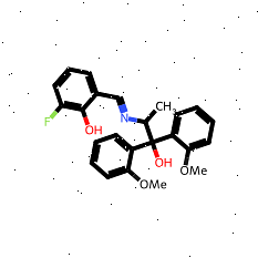 COc1ccccc1C(O)(c1ccccc1OC)C(C)N=Cc1cccc(F)c1O